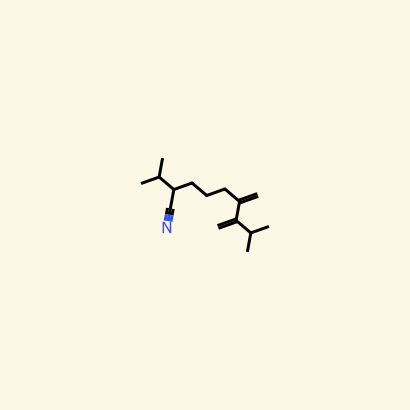 C=C(CCCC(C#N)C(C)C)C(=C)C(C)C